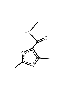 Cc1nc(C)c(C(=O)NI)s1